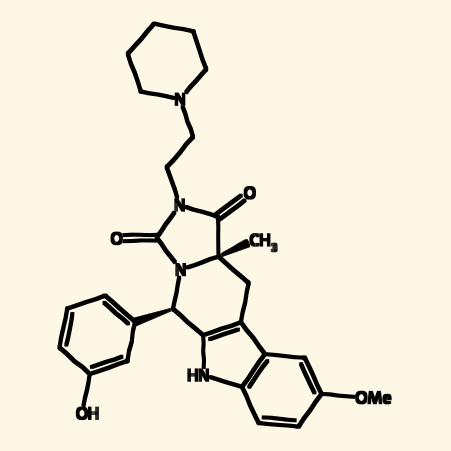 COc1ccc2[nH]c3c(c2c1)C[C@@]1(C)C(=O)N(CCN2CCCCC2)C(=O)N1[C@@H]3c1cccc(O)c1